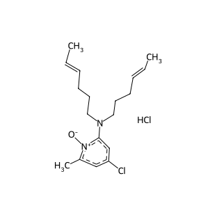 CC=CCCCN(CCCC=CC)c1cc(Cl)cc(C)[n+]1[O-].Cl